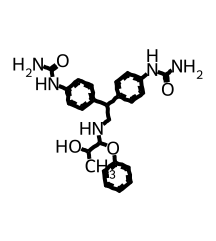 CC(O)C(NCC(c1ccc(NC(N)=O)cc1)c1ccc(NC(N)=O)cc1)Oc1ccccc1